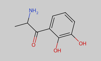 CC(N)C(=O)c1cccc(O)c1O